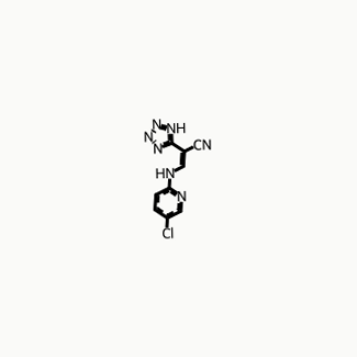 N#CC(=CNc1ccc(Cl)cn1)c1nnn[nH]1